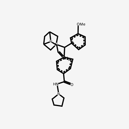 C=CCN1C2CC1CN(C(c1ccc(C(=O)NN3CCCC3)cc1)c1cccc(OC)c1)C2